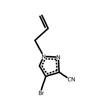 C=CCn1cc(Br)c(C#N)n1